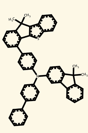 CC1(C)c2ccccc2-c2cc(N(c3ccc(-c4ccccc4)cc3)c3ccc(-c4cccc5c4-c4sc6ccccc6c4C5(C)C)cc3)ccc21